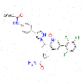 COC(=O)Nc1ccc(-c2cnn(C(C[C@@H]3C[C@@H]3C(N)=O)c3ccc(-c4c(F)ccc(Cl)c4F)c[n+]3[O-])c2)cc1